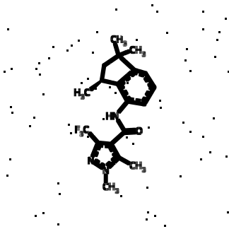 Cc1c(C(=O)Nc2cccc3c2[C@@H](C)CC3(C)C)c(C(F)(F)F)nn1C